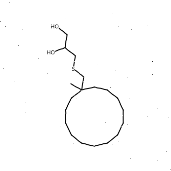 CC1(CSCC(O)CO)CCCCCCCCCCCCC1